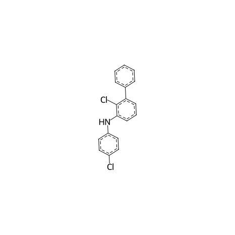 Clc1ccc(Nc2cccc(-c3ccccc3)c2Cl)cc1